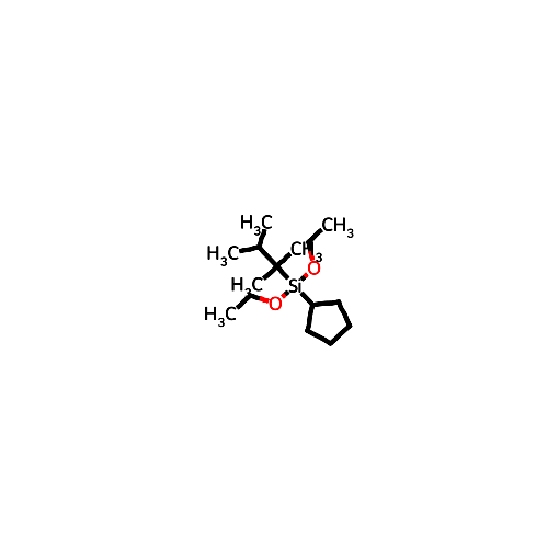 CCO[Si](OCC)(C1CCCC1)C(C)(C)C(C)C